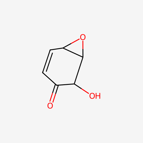 O=C1C=CC2OC2C1O